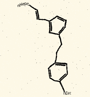 CCCCCCC/C=C/c1cccc(CCc2ccc(CCCCCCCCCC)cc2)c1